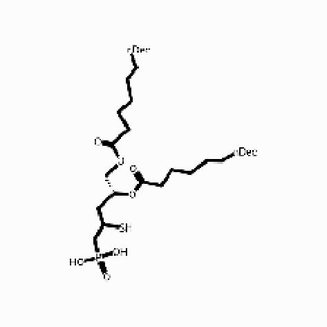 CCCCCCCCCCCCCCCC(=O)OC[C@@H](CC(S)CP(=O)(O)O)OC(=O)CCCCCCCCCCCCCCC